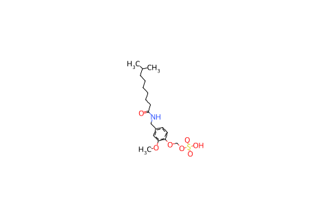 COc1cc(CNC(=O)CCCCCCC(C)C)ccc1OCOS(=O)(=O)O